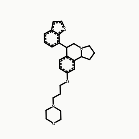 c1cc(C2CN3CCCC3c3cc(OCCCN4CCOCC4)ccc32)c2sccc2c1